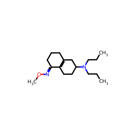 CCCN(CCC)C1CCC2=C(CCCC2=NOC)C1